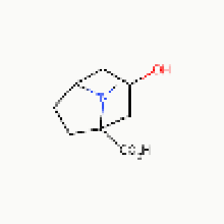 CN1C2CCC1(C(=O)O)CC(O)C2